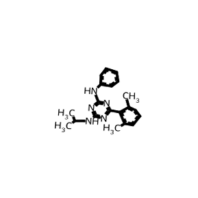 Cc1cccc(C)c1-c1nc(Nc2ccccc2)nc(NC(C)C)n1